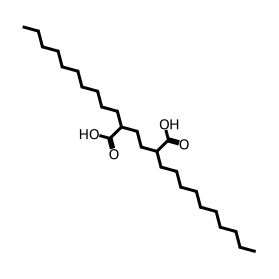 CCCCCCCCCCC(CCC(CCCCCCCCCC)C(=O)O)C(=O)O